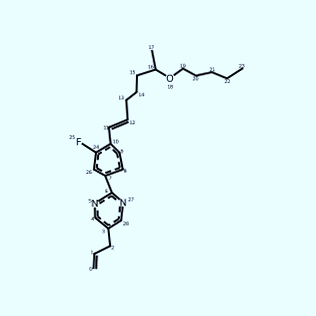 C=CCc1cnc(-c2ccc(C=CCCCC(C)OCCCCC)c(F)c2)nc1